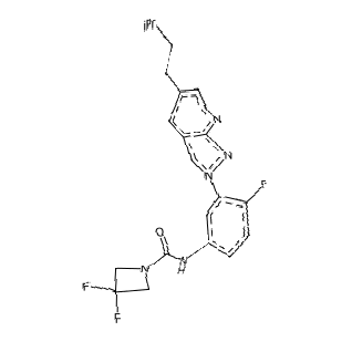 CC(C)CCc1cnc2nn(-c3cc(NC(=O)N4CC(F)(F)C4)ccc3F)cc2c1